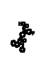 O=C(O)Cn1c2c(c3cc(F)ccc31)C[C@@H](N(Cc1cccc3ccccc13)C(=O)OCc1ccccc1)CC2